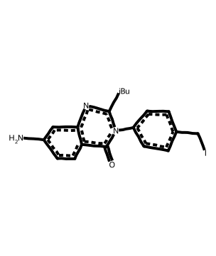 CCC(C)c1nc2cc(N)ccc2c(=O)n1-c1ccc(CI)cc1